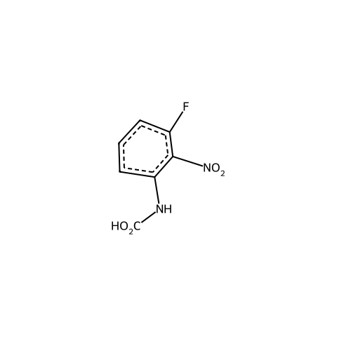 O=C(O)Nc1cccc(F)c1[N+](=O)[O-]